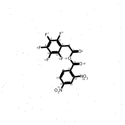 O=C(Cc1c(F)c(F)c(F)c(F)c1F)OC(=O)c1ccc([N+](=O)[O-])cc1[N+](=O)[O-]